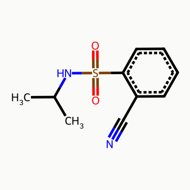 CC(C)NS(=O)(=O)c1ccccc1C#N